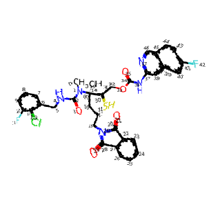 CN(C(=O)NCc1cccc(F)c1Cl)[C@](C)(CCCN1C(=O)c2ccccc2C1=O)C(S)COC(=O)Nc1cc2cc(F)ccc2cn1